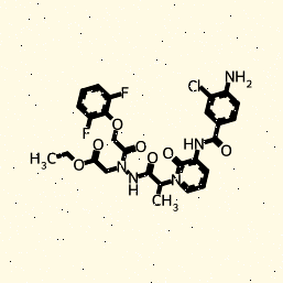 CCOC(=O)CN(NC(=O)C(C)n1cccc(NC(=O)c2ccc(N)c(Cl)c2)c1=O)C(=O)COc1c(F)cccc1F